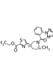 CCOC(=O)c1nc([C@@H]2CC[C@@H](C)N(C(=O)c3ccccc3-n3nccn3)C2)cs1